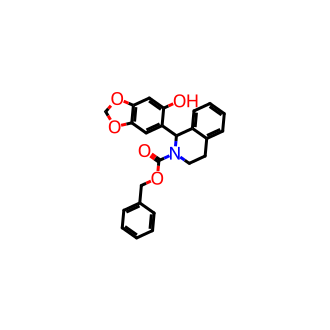 O=C(OCc1ccccc1)N1CCc2ccccc2C1c1cc2c(cc1O)OCO2